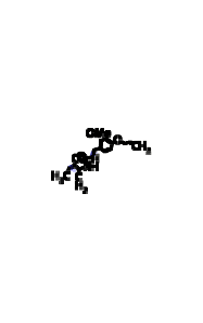 C=CCOc1ccc(/C=C/C(=O)NC(=C)/C(=C\C)C(=O)O)cc1OC